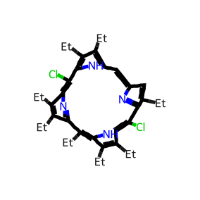 CCC1=Cc2cc3[nH]c(c(Cl)c4nc(c(CC)c5[nH]c(c(Cl)c1n2)c(CC)c5CC)C(CC)=C4CC)c(CC)c3CC